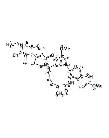 C/C=C\C(Cl)=C(\F)C(C1=CC(=O)N(C2CCCC(C)C(=O)Nc3cc(NC(=O)OC)ccc3-c3cc(OC)nc2c3)CC1)=C(C)C